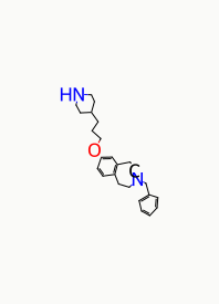 c1ccc(CN2CCc3ccc(OCCCC4CCNCC4)cc3CC2)cc1